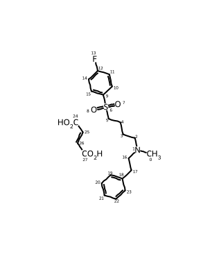 CN(CCCCS(=O)(=O)c1ccc(F)cc1)CCc1ccccc1.O=C(O)C=CC(=O)O